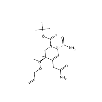 C=CCON(C)[C@H]1CN(C(=O)OC(C)(C)C)[C@H](C(N)=O)C=C1CC(N)=O